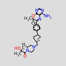 CC(C)(O)C(=O)N1CCN(CC2CCC(c3ccc(C4=Nc5c(N)ncnc5OC4(C)C)cc3)CC2)CC1